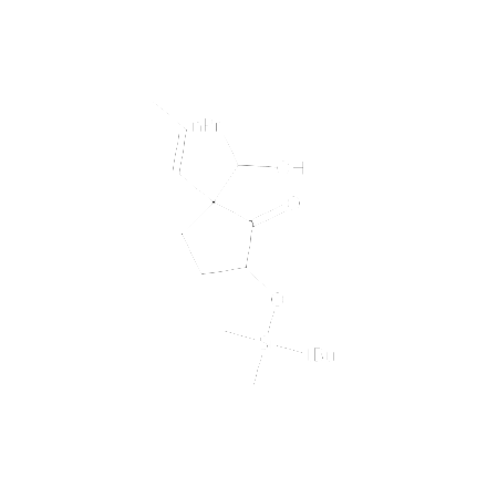 CC=CC1(C(O)CCC)CCC(O[Si](C)(C)C(C)(C)C)C1=O